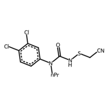 CCCN(C(=O)NSCC#N)c1ccc(Cl)c(Cl)c1